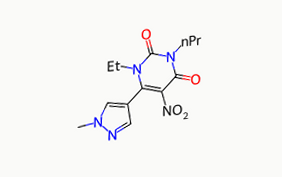 CCCn1c(=O)c([N+](=O)[O-])c(-c2cnn(C)c2)n(CC)c1=O